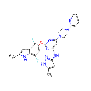 Cc1cc(Nc2cc(N3CCN(c4ccccn4)CC3)nc(Oc3cc(F)c4[nH]c(C)cc4c3F)n2)n[nH]1